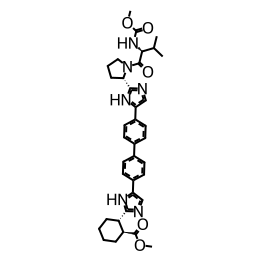 COC(=O)N[C@H](C(=O)N1CCC[C@H]1c1ncc(-c2ccc(-c3ccc(-c4cnc([C@H]5CCCC[C@@H]5C(=O)OC)[nH]4)cc3)cc2)[nH]1)C(C)C